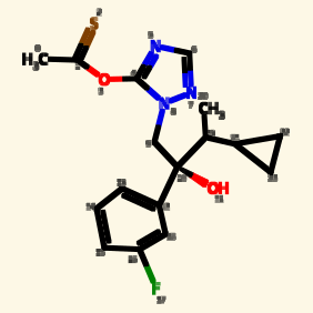 CC(=S)Oc1ncnn1C[C@@](O)(c1cccc(F)c1)C(C)C1CC1